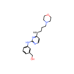 OCc1cccc(Nc2nccc([AsH]CCCN3CCOCC3)n2)c1